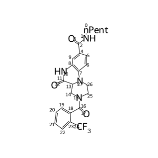 CCCCCNC(=O)c1ccc2c(c1)NC(=O)C1CN(C(=O)c3ccccc3C(F)(F)F)CCN21